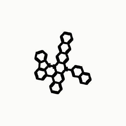 c1ccc2cc(N3c4cc5cc6ccccc6cc5cc4B4c5c3cc3ccccc3c5-c3cccc5c6ccccc6n4c35)ccc2c1